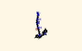 Cc1ccc2c(c1)C(C)(C)C(/C=C/C=C1/N(C)c3ccc(C)cc3C1(C)C)=[N+]2CCCCCC(=O)NCCCn1cc(CNCCCN=[N+]=[N-])nn1